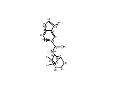 CC1(C)C(NC(=O)c2cc3c(F)coc3cn2)C2CCN1CC2